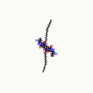 CCCCCCCCCCCCCCCCCCCCCCOc1cc(/C=c2\[nH]c(=O)/c(=C/c3nc[nH]c3C(C)(C)C)[nH]c2=O)c(OCCCCCCCCCCCCCCCCCCCCCC)cc1/C=c1\[nH]c(=O)/c(=C/c2nc[nH]c2C(C)(C)C)[nH]c1=O